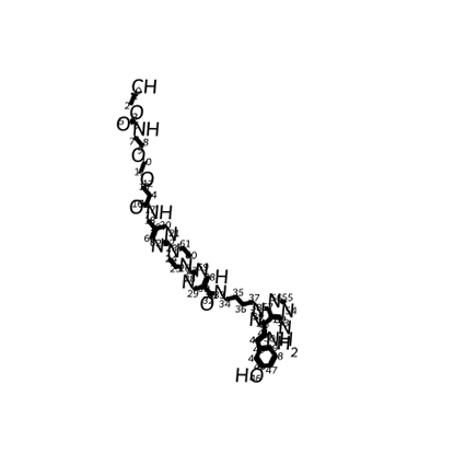 C#CCOC(=O)NCCOCCOCCC(=O)NCc1cnc(N2CCN(c3ncc(C(=O)NCCCCn4nc(-c5cc6cc(O)ccc6[nH]5)c5c(N)ncnc54)cn3)CC2)nc1